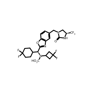 O=C1N[C@H](C(F)(F)F)CN1Cc1ccc2oc([C@H](C3CCC(F)(F)CC3)N(C(=O)O)C3CC(F)(F)C3)nc2c1